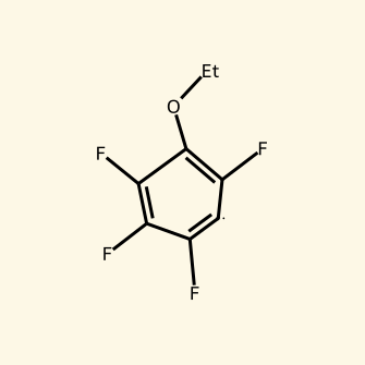 CCOc1c(F)[c]c(F)c(F)c1F